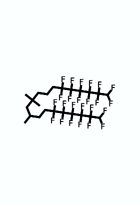 CC(CCC(F)(F)C(F)(F)C(F)(F)C(F)(F)C(F)(F)C(F)F)CC(C)(C)CCCC(F)(F)C(F)(F)C(F)(F)C(F)(F)C(F)(F)C(F)F